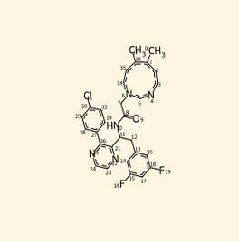 Cc1ccncn(CC(=O)NC(Cc2cc(F)cc(F)c2)c2nccnc2-c2ccc(Cl)cc2)ccc1C